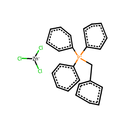 [Cl][Zn-]([Cl])[Cl].c1ccc(C[P+](c2ccccc2)(c2ccccc2)c2ccccc2)cc1